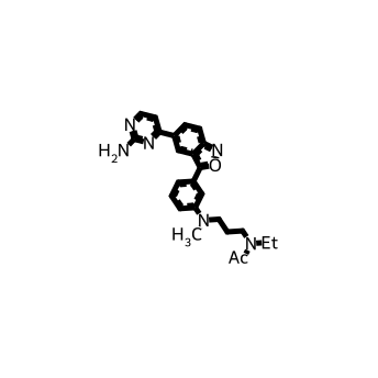 CCN(CCCN(C)c1cccc(-c2onc3ccc(-c4ccnc(N)n4)cc23)c1)C(C)=O